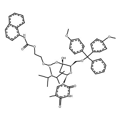 COc1ccc(C(OC[C@H]2O[C@@H](n3cc(C)c(=O)[nH]c3=O)C[C@]2(O)OP(OCCOC(=O)Nc2cccc3ccccc23)N(C(C)C)C(C)C)(c2ccccc2)c2ccc(OC)cc2)cc1